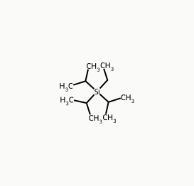 CC[Si](C(C)C)(C(C)C)C(C)C